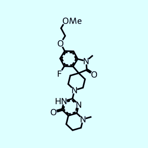 COCCOc1cc(F)c2c(c1)N(C)C(=O)C21CCN(c2nc3c(c(=O)[nH]2)CCCN3C)CC1